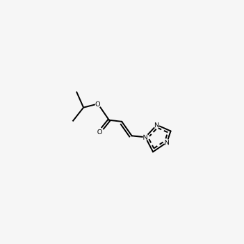 CC(C)OC(=O)C=Cn1cncn1